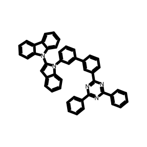 c1ccc(-c2nc(-c3ccccc3)nc(-c3cccc(-c4cccc(-n5c(-n6c7ccccc7c7ccccc76)cc6ccccc65)c4)c3)n2)cc1